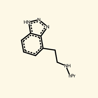 CCCNCCc1cccc2[nH]nnc12